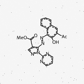 COC(=O)c1cnn(-c2ncccn2)c1/N=N/c1c(O)c(C(C)=O)cc2ccccc12